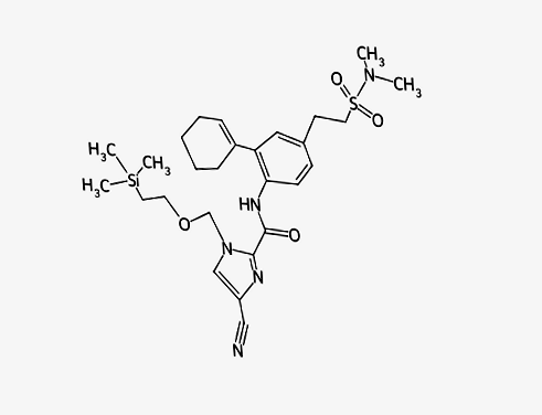 CN(C)S(=O)(=O)CCc1ccc(NC(=O)c2nc(C#N)cn2COCC[Si](C)(C)C)c(C2=CCCCC2)c1